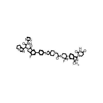 Cn1nc(N2CCC(=O)NC2=O)c2ccc([C@H]3CCN(C(=O)CN4CCC5(CC4)CN(c4ccc(-c6cc(F)c7c(c6)C(=O)N(C(C(=O)Nc6nccs6)c6ncn8c6CCC8)C7)cc4)C5)CC3(F)F)cc21